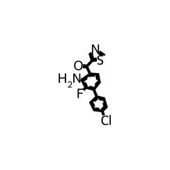 Nc1c(C(=O)c2cncs2)ccc(-c2ccc(Cl)cc2)c1F